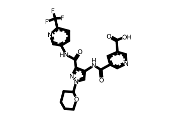 O=C(O)c1cncc(C(=O)Nc2cn(C3CCCCO3)nc2C(=O)Nc2ccc(C(F)(F)F)nc2)c1